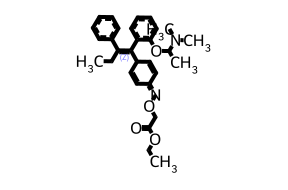 CCOC(=O)CON=C1C=CC(/C(=C(\CC)c2ccccc2)c2ccccc2OC(C)N(C)C)C=C1